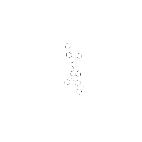 c1ccc(N(c2ccc3c(c2)Oc2cccc4c(N(c5ccccc5)c5ccc6oc7ccccc7c6c5)ccc-3c24)c2ccc3oc4ccccc4c3c2)cc1